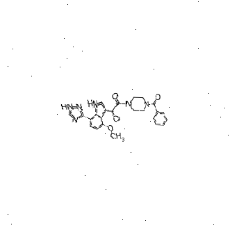 COc1ccc(-c2nc[nH]n2)c2[nH]cc(C(=O)C(=O)N3CCN(C(=O)c4ccccc4)CC3)c12